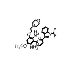 COc1cc(OCCN2CCOCC2)c(N)c(-c2nccc(-c3cn(C(F)F)c4ccccc34)n2)c1N